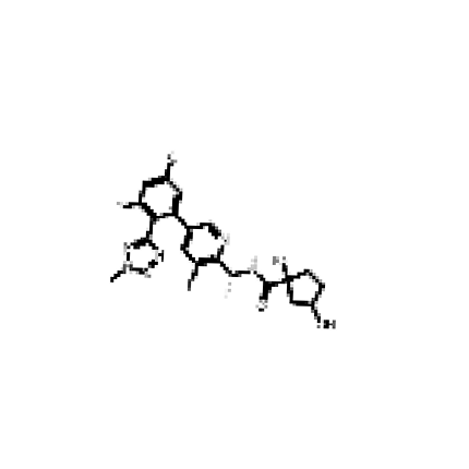 C[C@@H](NC(=O)C1(O)CCC(O)C1)c1ncc(-c2cc(Cl)cc(F)c2-c2nnn(C)n2)cc1F